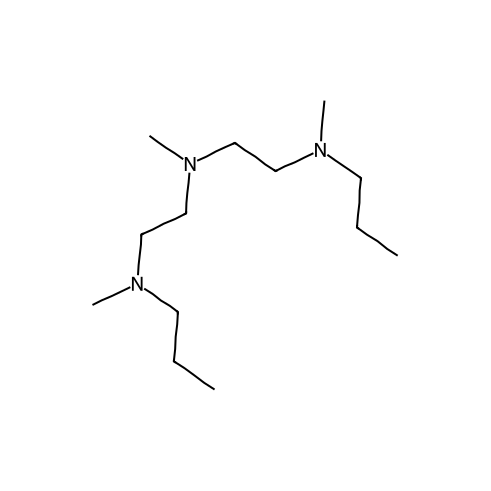 CCCN(C)CCN(C)CCN(C)CCC